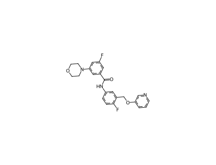 O=C(Nc1ccc(F)c(COc2cccnc2)c1)c1cc(F)cc(N2CCOCC2)c1